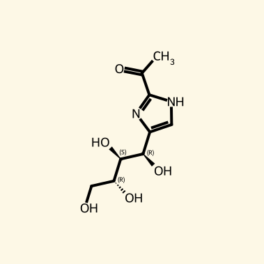 CC(=O)c1nc([C@@H](O)[C@H](O)[C@H](O)CO)c[nH]1